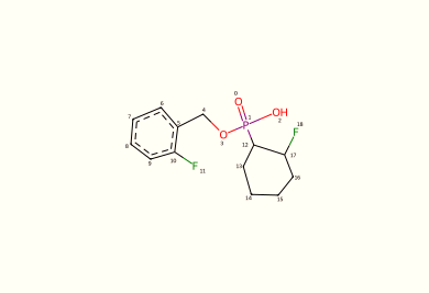 O=P(O)(OCc1ccccc1F)C1CCCCC1F